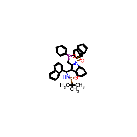 CC(C)(C)[S@@+]([O-])N[C@@H](c1cccc2ccccc12)c1c(CP(c2ccccc2)c2ccccc2)n(S(=O)(=O)c2ccccc2)c2ccccc12